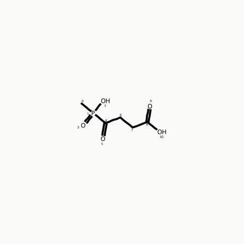 CP(=O)(O)C(=O)CCC(=O)O